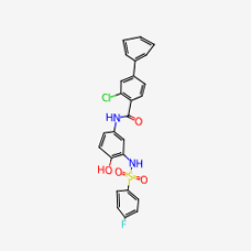 O=C(Nc1ccc(O)c(NS(=O)(=O)c2ccc(F)cc2)c1)c1ccc(-c2ccccc2)cc1Cl